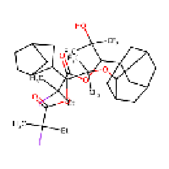 CCC(C)(I)C(=O)OC(C12CC3CC(C1)C(OC(C(OC(=O)C(C)(I)CC)C1CC4CCC1C4)(C(F)(F)F)C(F)(F)F)C(C3)C2)C(O)(C(F)(F)F)C(F)(F)F